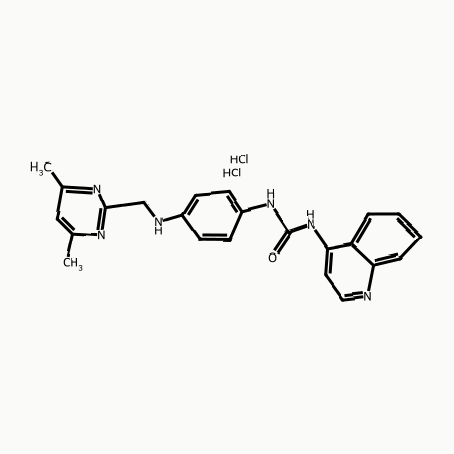 Cc1cc(C)nc(CNc2ccc(NC(=O)Nc3ccnc4ccccc34)cc2)n1.Cl.Cl